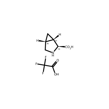 O=C(O)C(F)(F)F.O=C(O)[C@H]1NC[C@@H]2C[C@@H]21